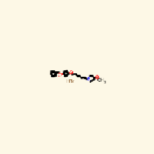 Br.COC1CCN(CCCCCCCOc2ccc(OCc3ccccc3)cc2)CC1